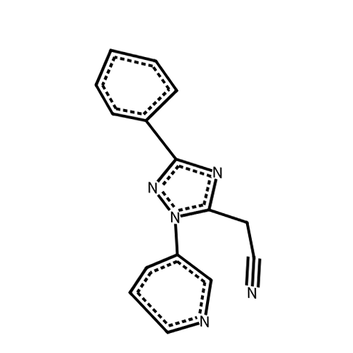 N#CCc1nc(-c2ccccc2)nn1-c1cccnc1